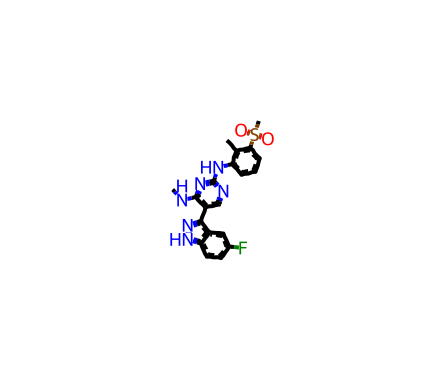 CNc1nc(Nc2cccc(S(C)(=O)=O)c2C)ncc1-c1n[nH]c2ccc(F)cc12